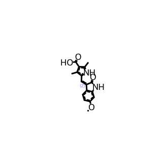 COc1ccc2c(c1)NC(=O)/C2=C\c1[nH]c(C)c(C(=O)O)c1C